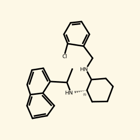 CC(N[C@H]1CCCCC1NCc1ccccc1Cl)c1cccc2ccccc12